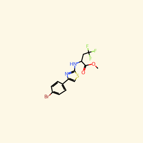 COC(=O)C(CC(F)(F)F)Nc1nc(-c2ccc(Br)cc2)cs1